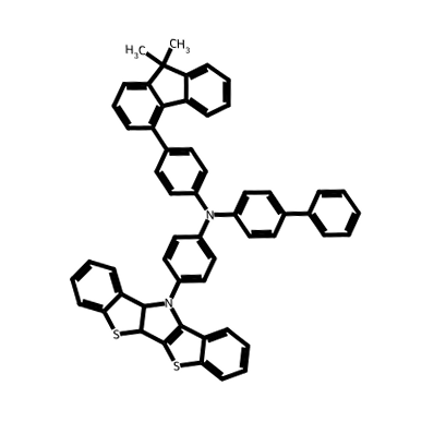 CC1(C)c2ccccc2-c2c(-c3ccc(N(c4ccc(-c5ccccc5)cc4)c4ccc(N5c6c(sc7ccccc67)C6Sc7ccccc7C65)cc4)cc3)cccc21